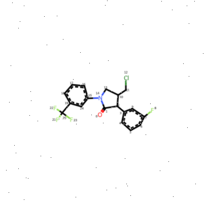 O=C1C(c2cccc(F)c2)C(CCl)CN1c1cccc(C(F)(F)F)c1